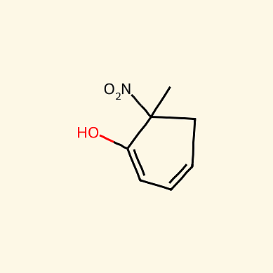 CC1([N+](=O)[O-])CC=CC=C1O